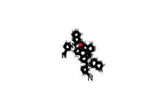 N#Cc1cccc(N(c2ccc3c(c2)C2(c4ccccc4-c4ccccc42)c2cccc4c(N(c5cccc(C#N)c5)c5ccc6ccccc6c5)ccc-3c24)c2ccc3ccccc3c2)c1